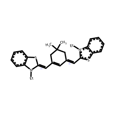 CCN1/C(=C/C2=CC(=C/c3sc4ccccc4[n+]3CC)/CC(C)(C)C2)Sc2ccccc21